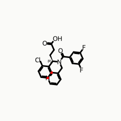 O=C(O)CC[C@H](c1ccccc1Cl)N(Cc1cccnc1)C(=O)c1cc(F)cc(F)c1